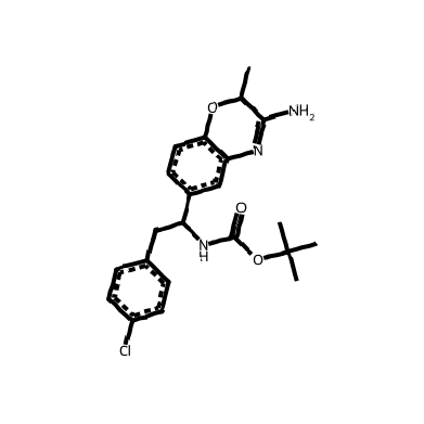 CC1Oc2ccc(C(Cc3ccc(Cl)cc3)NC(=O)OC(C)(C)C)cc2N=C1N